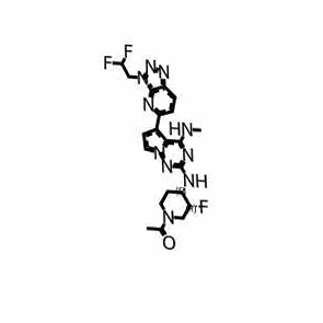 CNc1nc(N[C@H]2CCN(C(C)=O)C[C@H]2F)nn2ccc(-c3ccc4nnn(CC(F)F)c4n3)c12